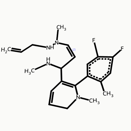 C=CCNN(C)/C=C\C(NC)C1=C(c2cc(F)c(F)cc2C)N(C)CC=C1